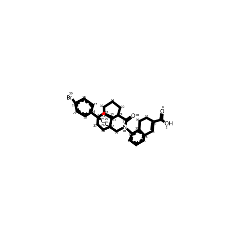 O=C(O)C1=Cc2cccc(N(CC34CCC(c5ccc(Br)cc5)(CC3)CC4)C(=O)C3CCCCC3)c2CC1